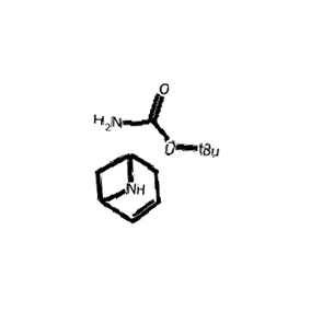 C1=CC2CC(C1)N2.CC(C)(C)OC(N)=O